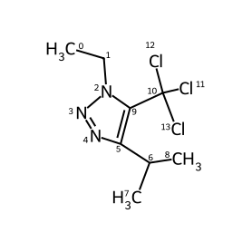 CCn1nnc(C(C)C)c1C(Cl)(Cl)Cl